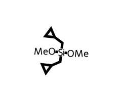 CO[Si](CC1CC1)(CC1CC1)OC